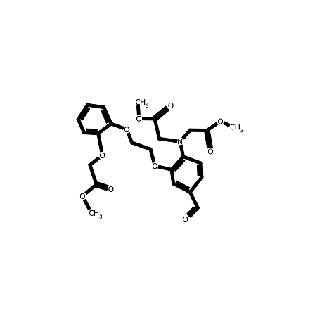 COC(=O)COc1ccccc1OCCOc1cc(C=O)ccc1N(CC(=O)OC)CC(=O)OC